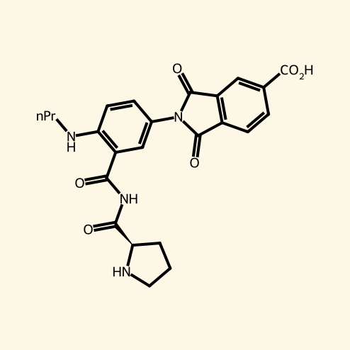 CCCNc1ccc(N2C(=O)c3ccc(C(=O)O)cc3C2=O)cc1C(=O)NC(=O)[C@H]1CCCN1